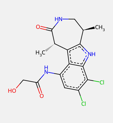 C[C@@H]1CNC(=O)[C@@H](C)c2c1[nH]c1c(Cl)c(Cl)cc(NC(=O)CO)c21